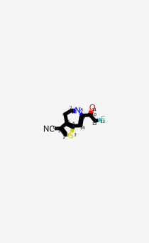 N#Cc1csc2c1CC=NC(C(=O)CF)=C2